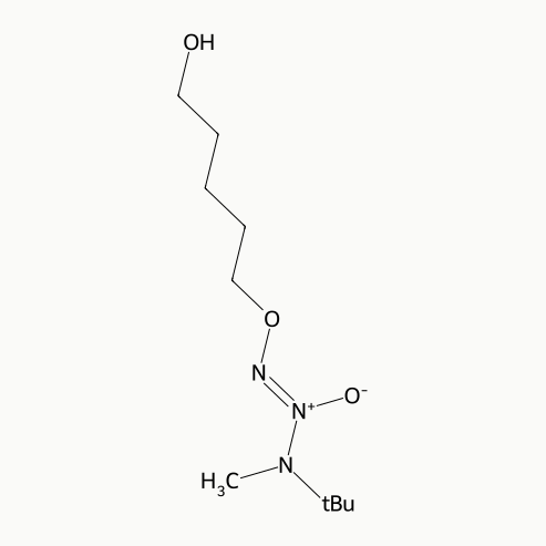 CN(/[N+]([O-])=N/OCCCCCO)C(C)(C)C